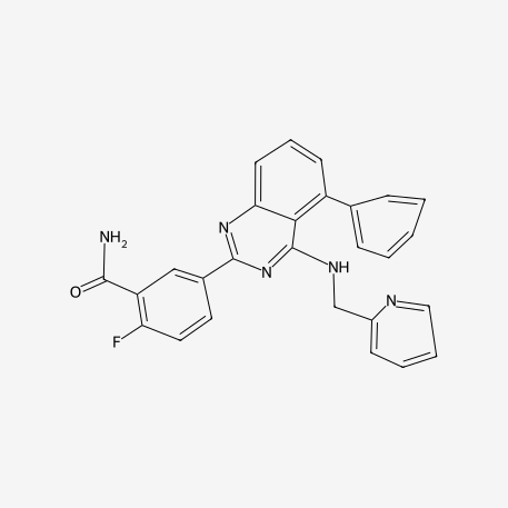 NC(=O)c1cc(-c2nc(NCc3ccccn3)c3c(-c4ccccc4)cccc3n2)ccc1F